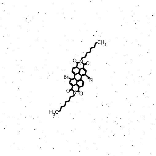 CCCCCCCCN1C(=O)c2ccc3c4c(C#N)cc5c6c(ccc(c7c(Br)cc(c2c37)C1=O)c64)C(=O)N(CCCCCCCC)C5=O